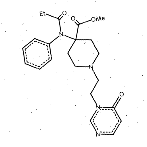 CCC(=O)N(c1ccccc1)C1(C(=O)OC)CCN(CCn2cnccc2=O)CC1